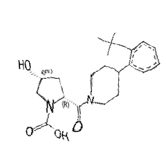 CC(C)(C)c1ccccc1C1CCN(C(=O)[C@H]2C[C@@H](O)CN2C(=O)O)CC1